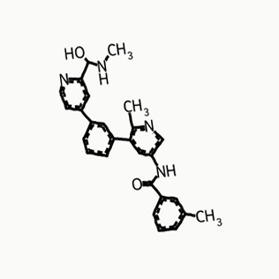 CNC(O)c1cc(-c2cccc(-c3cc(NC(=O)c4cccc(C)c4)cnc3C)c2)ccn1